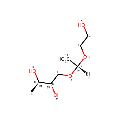 CC[C@@](OCCO)(OC[C@H](O)[C@@H](C)O)C(=O)O